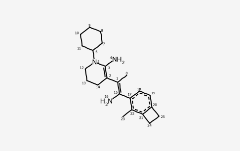 C/C(C1=C(N)N(C2CCCCC2)CCC1)=C(/N)c1ccc2c(c1C)CC2